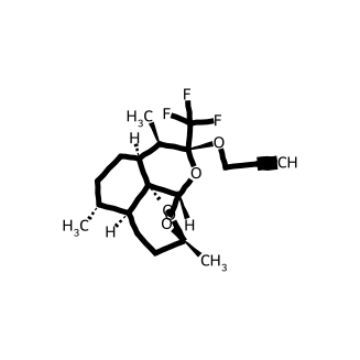 C#CCO[C@@]1(C(F)(F)F)O[C@@H]2O[C@@]3(C)CC[C@H]4[C@H](C)CC[C@@H]([C@H]1C)[C@@]24OO3